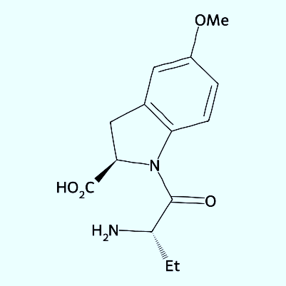 CC[C@H](N)C(=O)N1c2ccc(OC)cc2C[C@@H]1C(=O)O